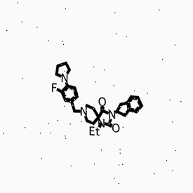 CCN1C(=O)N(C2Cc3ccccc3C2)C(=O)C12CCN(Cc1ccc(N3CCCC3)c(F)c1)CC2